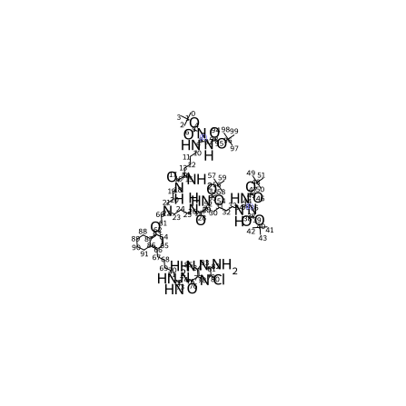 CC(C)(C)OC(=O)/N=C(\NCCCC[C@@H](N)C(=O)NCCCN(CCCNC(=O)[C@@H](CCCCN/C(=N\C(=O)OC(C)(C)C)NC(=O)OC(C)(C)C)NC(=O)OC(C)(C)C)CCOc1ccc(CCCCNC(=N)NC(=O)c2nc(Cl)c(N)nc2N)c2c1CCCC2)NC(=O)OC(C)(C)C